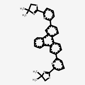 CC1(C)CSC(c2cccc(-c3ccc4c5ccc(-c6cccc(C7=NC(C)(C)CS7)n6)cc5c5ccccc5c4c3)n2)=N1